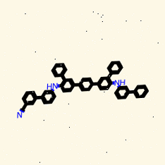 N#Cc1cccc(-c2cccc(Nc3ccc(C4=CCC(c5ccc(Nc6cccc(-c7ccccc7)c6)c(-c6ccccc6)c5)C=C4)cc3-c3ccccc3)c2)c1